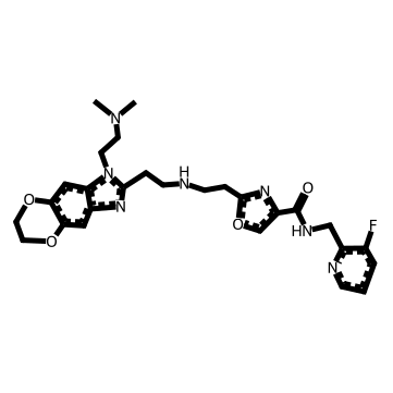 CN(C)CCn1c(CCNCCc2nc(C(=O)NCc3ncccc3F)co2)nc2cc3c(cc21)OCCO3